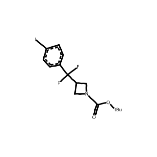 CC(C)(C)OC(=O)N1CC(C(F)(F)c2ccc(I)cc2)C1